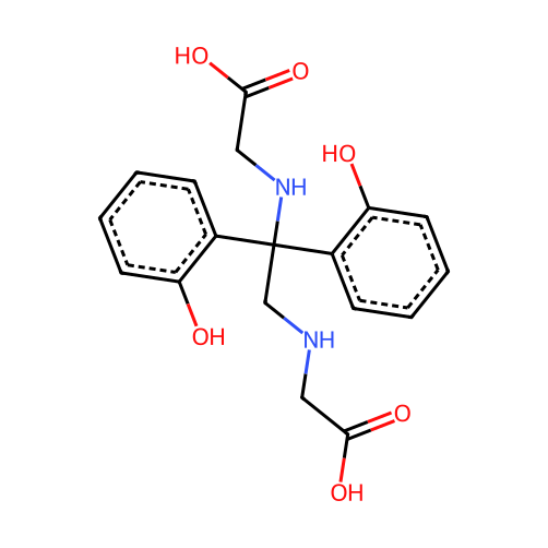 O=C(O)CNCC(NCC(=O)O)(c1ccccc1O)c1ccccc1O